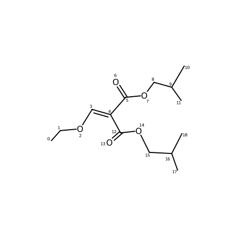 CCOC=C(C(=O)OCC(C)C)C(=O)OCC(C)C